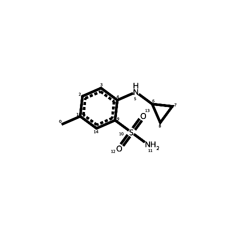 Cc1ccc(NC2CC2)c(S(N)(=O)=O)c1